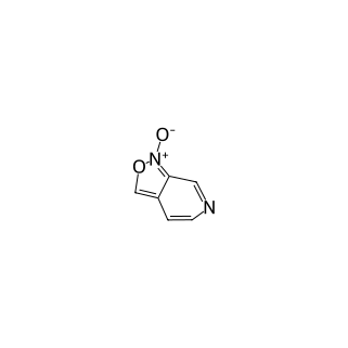 [O-][n+]1occ2ccncc21